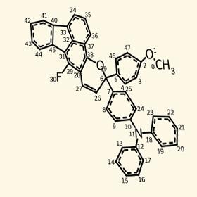 COc1ccc(C2(c3ccc(N(c4ccccc4)c4ccccc4)cc3)C=Cc3c(F)c4c5c(cccc5c3O2)-c2ccccc2-4)cc1